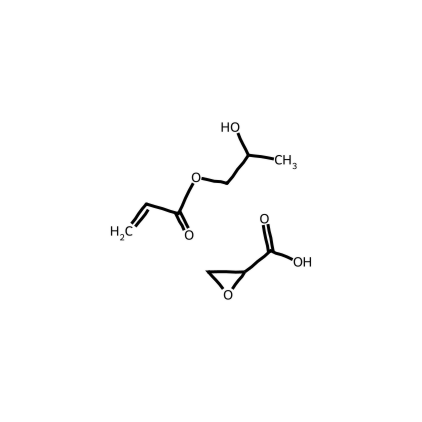 C=CC(=O)OCC(C)O.O=C(O)C1CO1